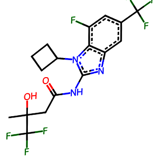 CC(O)(CC(=O)Nc1nc2cc(C(F)(F)F)cc(F)c2n1C1CCC1)C(F)(F)F